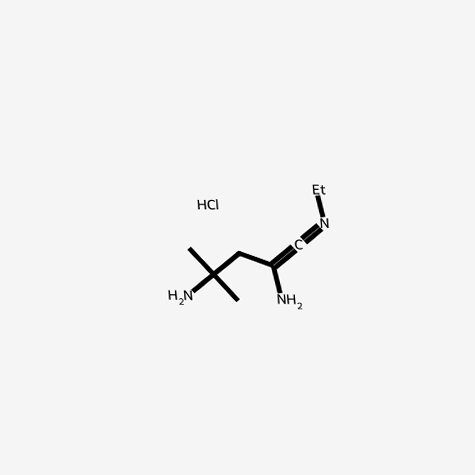 CCN=C=C(N)CC(C)(C)N.Cl